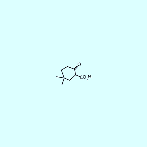 CC1(C)CCC(=O)C(C(=O)O)C1